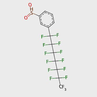 O=[SH](=O)c1cccc(C(F)(F)C(F)(F)C(F)(F)C(F)(F)C(F)(F)C(F)(F)C(F)(F)F)c1